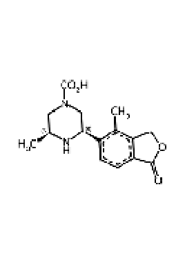 Cc1c([C@@H]2CN(C(=O)O)C[C@H](C)N2)ccc2c1COC2=O